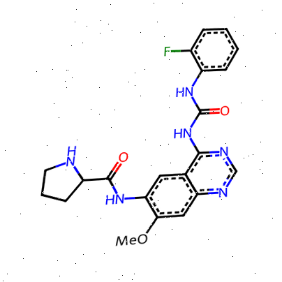 COc1cc2ncnc(NC(=O)Nc3ccccc3F)c2cc1NC(=O)C1CCCN1